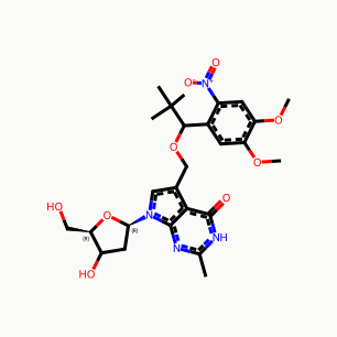 COc1cc(C(OCc2cn([C@H]3CC(O)[C@@H](CO)O3)c3nc(C)[nH]c(=O)c23)C(C)(C)C)c([N+](=O)[O-])cc1OC